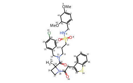 COC1=CC=C(CNS(=O)(=O)CCCN(Cc2ccc(Cl)cc2)C(=O)C2(C)CCN2C(=O)Cc2csc3ccccc23)C(OC)C1